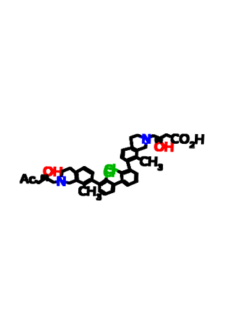 CC(=O)C[C@H](O)CN1CCc2ccc(-c3cccc(-c4cccc(-c5ccc6c(c5C)CN(C[C@@H](O)CC(=O)O)CC6)c4Cl)c3Cl)c(C)c2C1